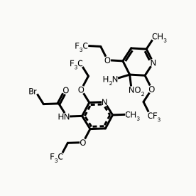 CC1=NC(OCC(F)(F)F)C(N)([N+](=O)[O-])C(OCC(F)(F)F)=C1.Cc1cc(OCC(F)(F)F)c(NC(=O)CBr)c(OCC(F)(F)F)n1